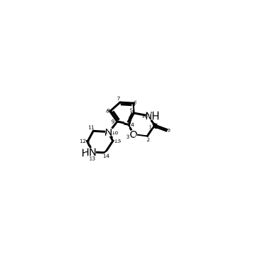 C=C1COc2c(cccc2N2CCNCC2)N1